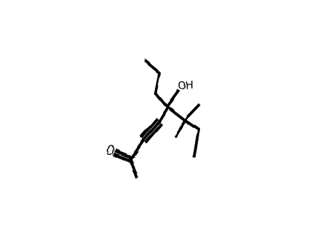 CCCC(O)(C#CC(C)=O)C(C)(C)CC